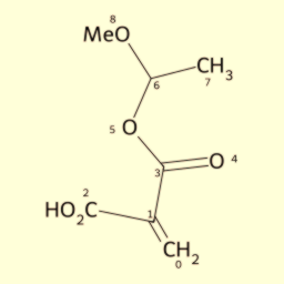 C=C(C(=O)O)C(=O)OC(C)OC